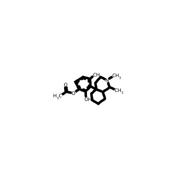 CC(=O)Oc1ccc(C)c(C23CCCCC2C(C)N(C)CC3)c1O